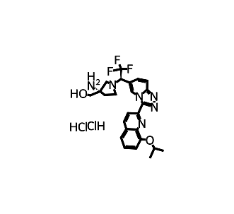 CC(C)Oc1cccc2ccc(-c3nnc4ccc([C@@H](N5CC[C@@](N)(CO)C5)C(F)(F)F)cn34)nc12.Cl.Cl